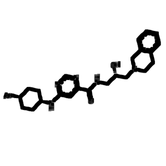 CC(=O)[C@H]1CC[C@@H](Nc2cc(C(=O)NC[C@H](O)CN3CCc4ccccc4C3)ncn2)CC1